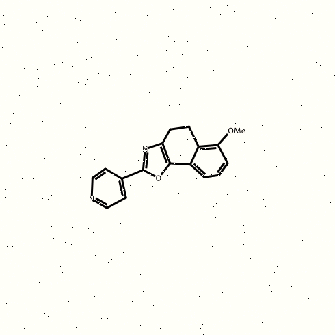 COc1cccc2c1CCc1nc(-c3ccncc3)oc1-2